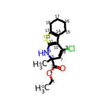 CCOC(=O)C1(C)C=C(Cl)c2c(sc3c2CCCC3)N1